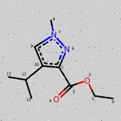 CCOC(=O)c1nn(C)cc1C(C)C